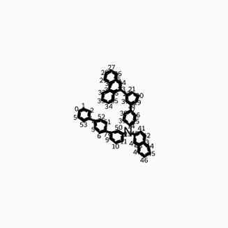 c1ccc(-c2ccc(-c3cccc(N(c4ccc(-c5cccc(-c6cc7ccccc7c7ccccc67)c5)cc4)c4ccc5ccccc5c4)c3)cc2)cc1